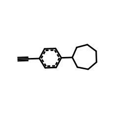 C#Cc1ccc(C2CCCCCC2)cc1